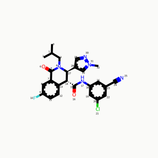 CC(C)CN1C(=O)c2cc(F)ccc2[C@@H](C(=O)Nc2cc(Cl)cc(C#N)c2)[C@@H]1c1cnn(C)c1